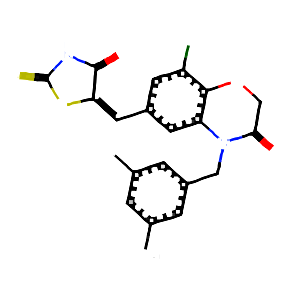 CC(C)(C)c1cc(CN2C(=O)COc3c(Cl)cc(C=C4SC(=S)NC4=O)cc32)cc(C(C)(C)C)c1